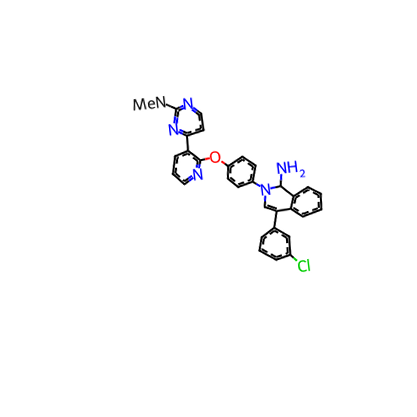 CNc1nccc(-c2cccnc2Oc2ccc(N3C=C(c4cccc(Cl)c4)c4ccccc4C3N)cc2)n1